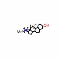 CN/N=C1\CCC2C3CC=C4C[C@@H](O)CC[C@]4(C)C3CC[C@]12C